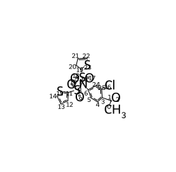 CC(=O)c1ccc(N(S(=O)(=O)c2cccs2)S(=O)(=O)C2CC=CS2)cc1Cl